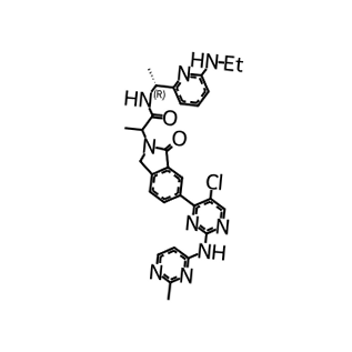 CCNc1cccc([C@@H](C)NC(=O)C(C)N2Cc3ccc(-c4nc(Nc5ccnc(C)n5)ncc4Cl)cc3C2=O)n1